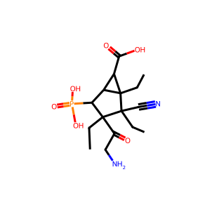 CCC1(C(=O)CN)C(P(=O)(O)O)C2C(C(=O)O)C2(CC)C1(C#N)CC